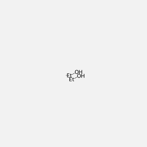 C[CH]O.[CH2]CO